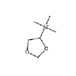 C[N+](C)(C)C1COCO1